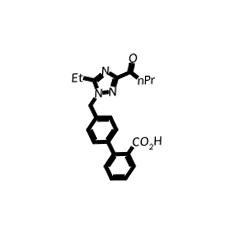 CCCC(=O)c1nc(CC)n(Cc2ccc(-c3ccccc3C(=O)O)cc2)n1